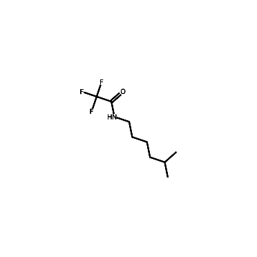 CC(C)CCCCNC(=O)C(F)(F)F